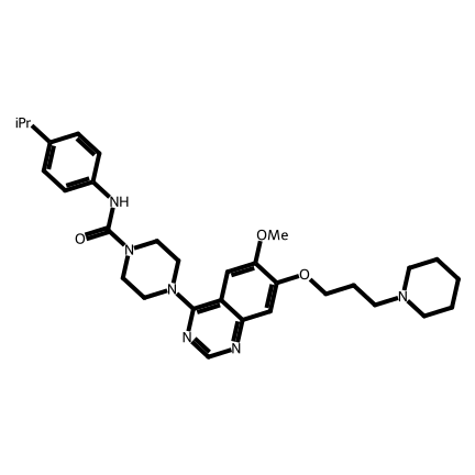 COc1cc2c(N3CCN(C(=O)Nc4ccc(C(C)C)cc4)CC3)ncnc2cc1OCCCN1CCCCC1